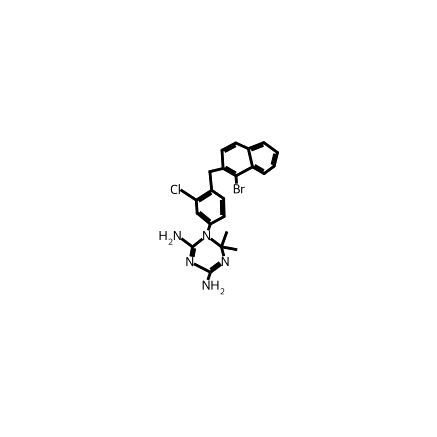 CC1(C)N=C(N)N=C(N)N1c1ccc(Cc2ccc3ccccc3c2Br)c(Cl)c1